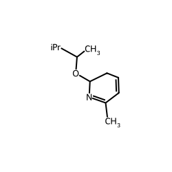 CC1=NC(OC(C)C(C)C)CC=C1